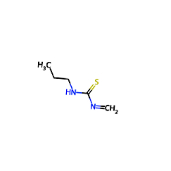 C=NC(=S)NCCC